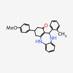 COc1ccc(C2CC(=O)C3=C(C2)Nc2ccccc2NC3c2ccccc2C)cc1